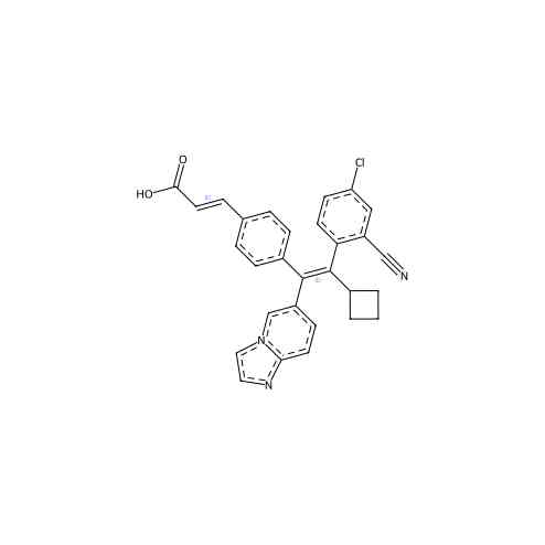 N#Cc1cc(Cl)ccc1/C(=C(\c1ccc(/C=C/C(=O)O)cc1)c1ccc2nccn2c1)C1CCC1